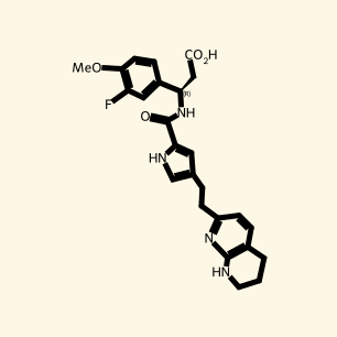 COc1ccc([C@@H](CC(=O)O)NC(=O)c2cc(CCc3ccc4c(n3)NCCC4)c[nH]2)cc1F